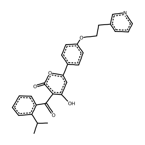 CC(C)c1ccccc1C(=O)c1c(O)cc(-c2ccc(OCCc3cccnc3)cc2)oc1=O